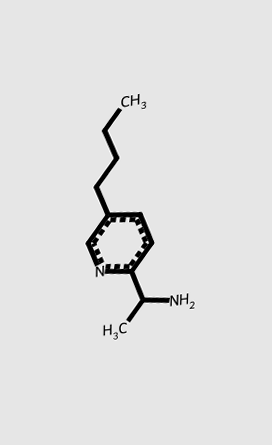 CCCCc1ccc(C(C)N)nc1